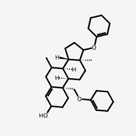 CC1CC2=CC(O)CC[C@]2(COC2=CCCCC2)[C@@H]2CC[C@]3(C)C(OC4=CCCCC4)CC[C@H]3[C@H]12